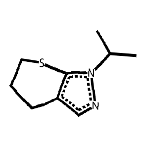 CC(C)n1ncc2c1SCCC2